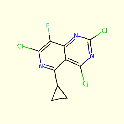 Fc1c(Cl)nc(C2CC2)c2c(Cl)nc(Cl)nc12